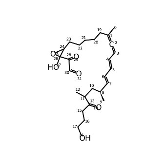 CC(=C=C/C=C/C=C/[C@@H](C)CC(C)C(=O)CCCO)CCCCCC1OC1(O)C(=O)C=O